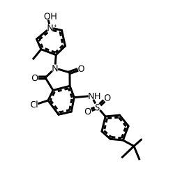 Cc1c[n+](O)ccc1N1C(=O)c2c(Cl)ccc(NS(=O)(=O)c3ccc(C(C)(C)C)cc3)c2C1=O